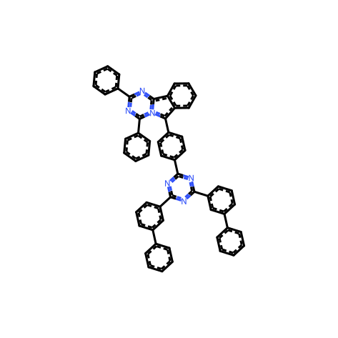 c1ccc(-c2cccc(-c3nc(-c4ccc(-c5c6ccccc6c6nc(-c7ccccc7)nc(-c7ccccc7)n56)cc4)nc(-c4cccc(-c5ccccc5)c4)n3)c2)cc1